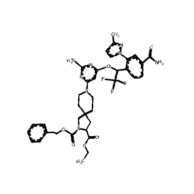 CCOC(=O)C1CC2(CCN(c3cc(OC(c4ccc(C(N)=O)cc4-n4ccc(C)n4)C(F)(F)F)nc(N)n3)CC2)CN1C(=O)OCc1ccccc1